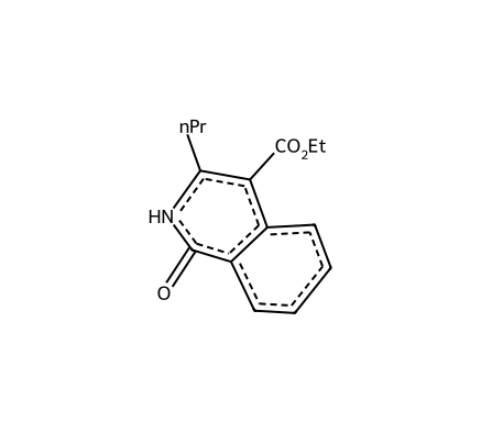 CCCc1[nH]c(=O)c2ccccc2c1C(=O)OCC